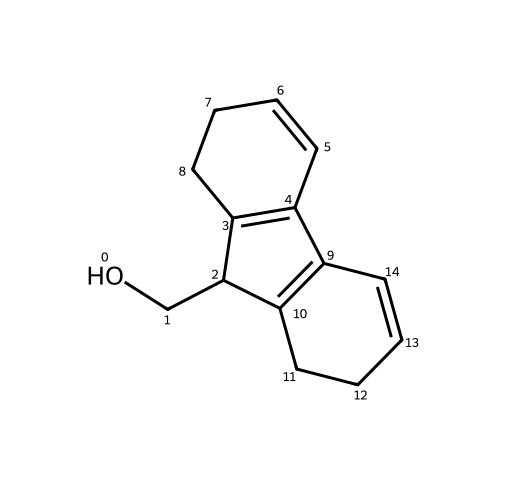 OCC1C2=C(C=CCC2)C2=C1CCC=C2